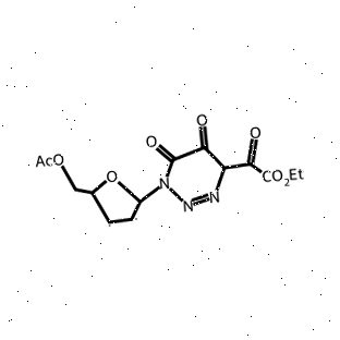 CCOC(=O)C(=O)C1N=NN(C2[CH][CH]C(COC(C)=O)O2)C(=O)C1=O